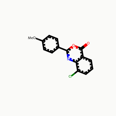 COc1ccc(-c2nc3c(Cl)cccc3c(=O)o2)cc1